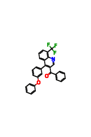 O=C(c1ccccc1)c1cnc2c(C(F)(F)F)cccc2c1-c1cccc(Oc2ccccc2)c1